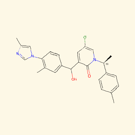 Cc1ccc([C@H](C)n2cc(Cl)cc(C(O)c3ccc(-n4cnc(C)c4)c(C)c3)c2=O)cc1